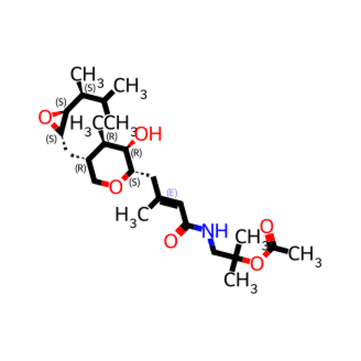 CC(=O)OC(C)(C)CNC(=O)/C=C(\C)C[C@@H]1OC[C@H](C[C@@H]2O[C@H]2[C@@H](C)C(C)C)[C@@H](C)[C@H]1O